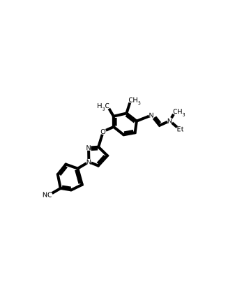 CCN(C)/C=N/c1ccc(Oc2ccn(-c3ccc(C#N)cc3)n2)c(C)c1C